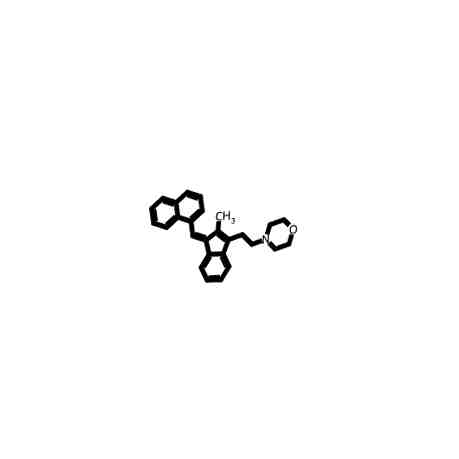 CC1=C(CCN2CCOCC2)c2ccccc2/C1=C/c1cccc2ccccc12